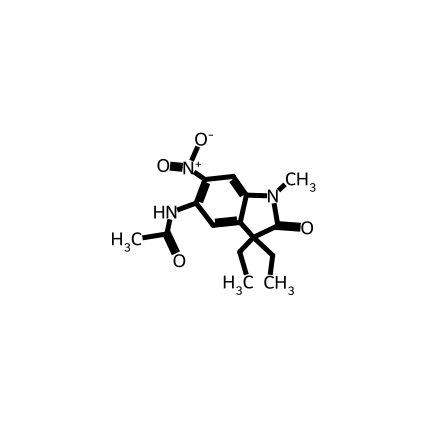 CCC1(CC)C(=O)N(C)c2cc([N+](=O)[O-])c(NC(C)=O)cc21